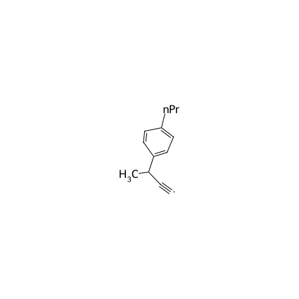 [C]#CC(C)c1ccc(CCC)cc1